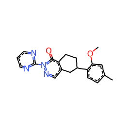 COc1cc(C)ccc1C1CCc2c(cnn(-c3ncccn3)c2=O)C1